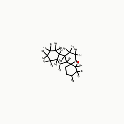 [2H]C1CCC2(N([2H])C([2H])([2H])C([2H])([2H])C3([2H])C2([2H])N([2H])C2([2H])C([2H])([2H])C([2H])([2H])C([2H])([2H])C([2H])([2H])C23[2H])C([2H])([2H])C1([2H])[2H]